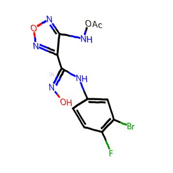 CC(=O)ONc1nonc1/C(=N/O)Nc1ccc(F)c(Br)c1